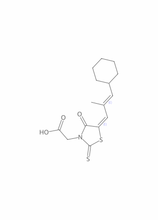 CC(=C\C1CCCCC1)/C=C1/SC(=S)N(CC(=O)O)C1=O